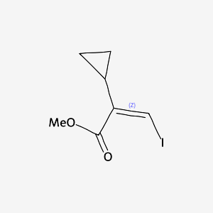 COC(=O)/C(=C\I)C1CC1